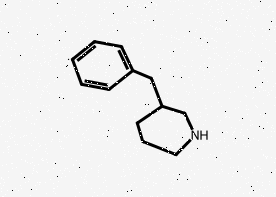 [c]1ccc(CC2CCCNC2)cc1